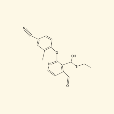 CCSC(O)c1c(C=O)ccnc1Oc1ccc(C#N)cc1F